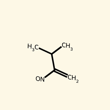 C=C(N=O)C(C)C